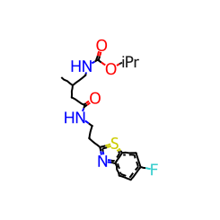 CC(CNC(=O)OC(C)C)CC(=O)NCCc1nc2ccc(F)cc2s1